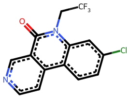 O=c1c2cnccc2c2ccc(Cl)cc2n1CC(F)(F)F